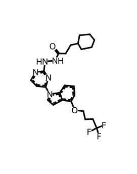 O=C(CCC1CCCCC1)NNc1nccc(-n2ccc3c(OCCCC(F)(F)F)cccc32)n1